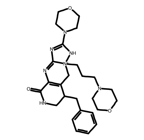 O=C1NCC(Cc2ccccc2)C2=C1N=C1N=C(N3CCOCC3)N[N+]1(CCCN1CCOCC1)C2